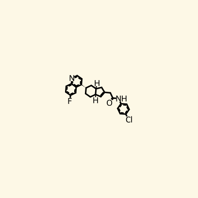 O=C(CC1=C[C@@H]2CC[C@H](c3ccnc4ccc(F)cc34)C[C@@H]2C1)Nc1ccc(Cl)cc1